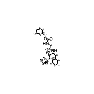 O=C(CNC(=O)OCc1ccccc1)NC(Cc1ccccc1)C(=O)Cn1ncnn1